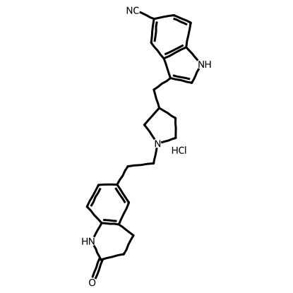 Cl.N#Cc1ccc2[nH]cc(CC3CCN(CCc4ccc5c(c4)CCC(=O)N5)C3)c2c1